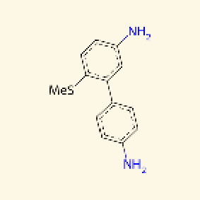 CSc1ccc(N)cc1-c1ccc(N)cc1